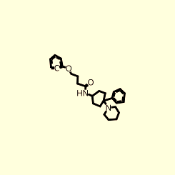 O=C(CCCOc1ccccc1)NC1CCC(c2ccccc2)(N2CCCCC2)CC1